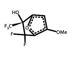 COc1cc2oc1C(F)(F)[C@@]2(O)C(F)(F)F